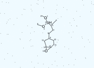 CO[SiH](OC)C(C)CCC1CCC2OC2C1